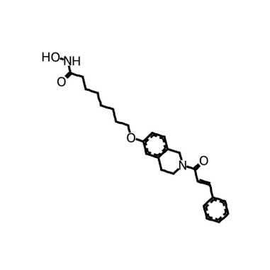 O=C(CCCCCCCOc1ccc2c(c1)CCN(C(=O)C=Cc1ccccc1)C2)NO